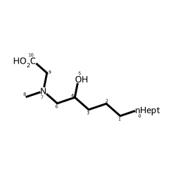 CCCCCCCCCCC(O)CN(C)CC(=O)O